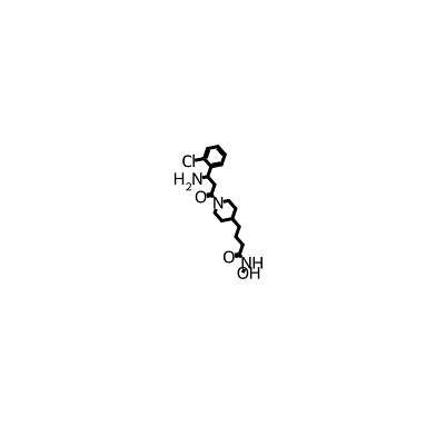 NC(CC(=O)N1CCC(CCCC(=O)NO)CC1)c1ccccc1Cl